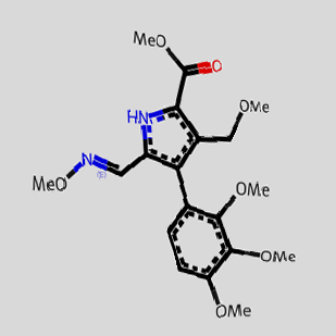 COCc1c(C(=O)OC)[nH]c(/C=N/OC)c1-c1ccc(OC)c(OC)c1OC